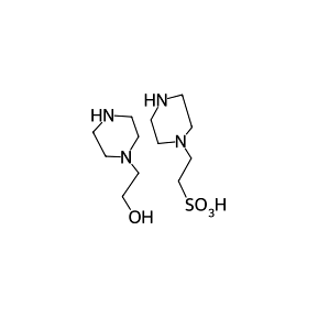 O=S(=O)(O)CCN1CCNCC1.OCCN1CCNCC1